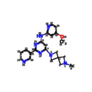 CC(=O)N1CC2(C1)CN(c1cc(Nc3cc(OC(F)(F)F)ccn3)nc(-c3cccnc3)n1)C2